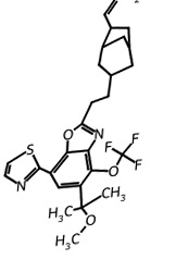 C=CC1CC2CC(CCc3nc4c(OC(F)(F)F)c(C(C)(C)OC)cc(-c5nccs5)c4o3)CC1C2